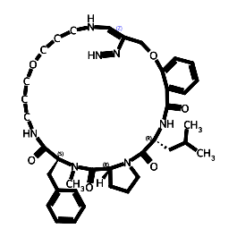 CC(C)C[C@H]1NC(=O)c2ccccc2OC/C(N=N)=C/NCCCOCCCNC(=O)[C@H](Cc2ccccc2)N(C)C(=O)[C@H]2CCCN2C1=O